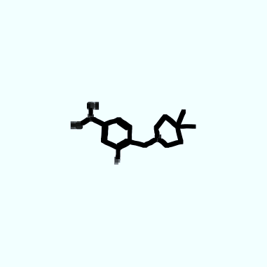 CC1(C)CCN(Cc2ccc(B(O)O)cc2F)CC1